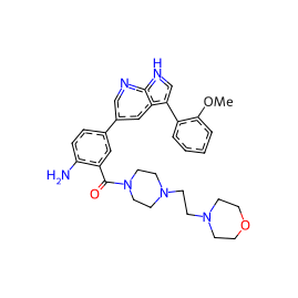 COc1ccccc1-c1c[nH]c2ncc(-c3ccc(N)c(C(=O)N4CCN(CCN5CCOCC5)CC4)c3)cc12